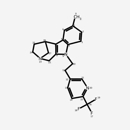 Cc1ccc2c(c1)c1c(n2CCc2ccc(C(F)(F)F)nc2)CN2CCC1C2